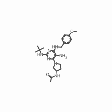 COc1ccc(CNc2nc(NC(C)(C)C)nc(N3CC[C@H](NC(C)=O)C3)c2N)cc1